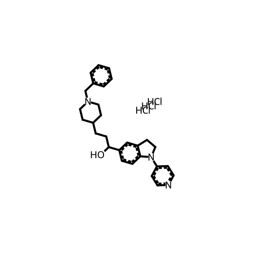 Cl.Cl.Cl.OC(CCC1CCN(Cc2ccccc2)CC1)c1ccc2c(c1)CCN2c1ccncc1